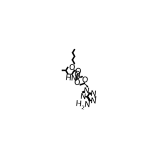 CCCCCOC(=O)[C@H](CC(C)C)NP1(=O)CO[C@@H](Cn2cnc3c(N)ncnc32)CO1